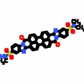 CNS(=O)(=O)c1ccc2c(c1)nc1c3ccc4c5ccc6c(=O)n7c8ccc(S(=O)(=O)N(C)C)cc8nc7c7ccc(c8ccc(c(=O)n21)c3c48)c5c67